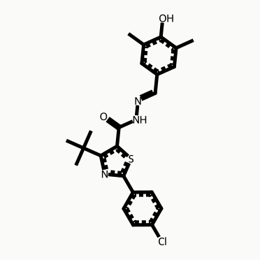 Cc1cc(/C=N/NC(=O)c2sc(-c3ccc(Cl)cc3)nc2C(C)(C)C)cc(C)c1O